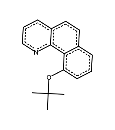 CC(C)(C)Oc1cccc2ccc3cccnc3c12